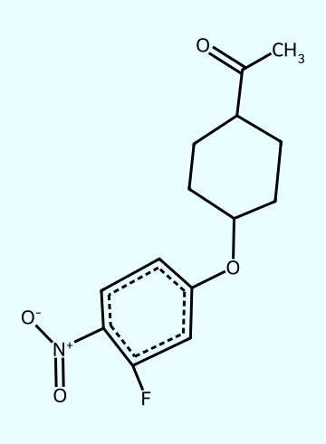 CC(=O)C1CCC(Oc2ccc([N+](=O)[O-])c(F)c2)CC1